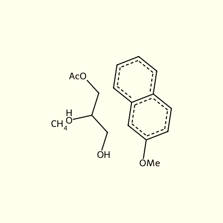 C.CC(=O)OCC(O)CO.COc1ccc2ccccc2c1